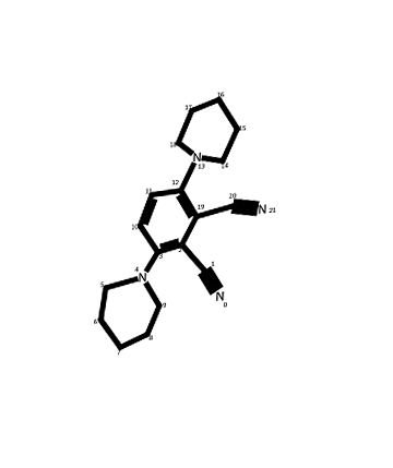 N#Cc1c(N2CCCCC2)ccc(N2CCCCC2)c1C#N